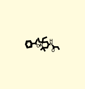 CCC(=O)NC1CC(C)(C)N(OC(C)c2ccccc2)C(CC)(CC)C1